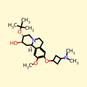 COc1cc2c(cc1OC1CC(N(C)C)C1)CCN1C[C@@H](OC(C)(C)C)[C@H](O)C[C@H]21